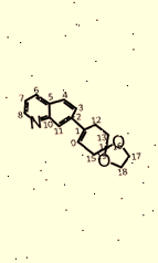 C1=C(c2ccc3cccnc3c2)CCC2(C1)OCCO2